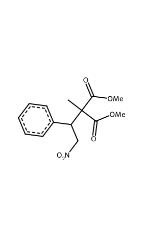 COC(=O)C(C)(C(=O)OC)C(C[N+](=O)[O-])c1ccccc1